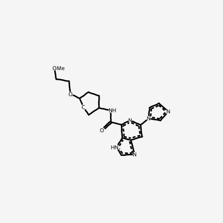 COCCOC1CCC(NC(=O)c2nc(-n3ccnc3)cc3nc[nH]c23)CC1